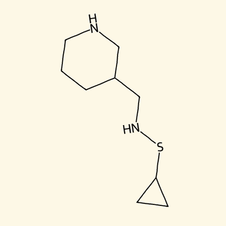 C1CNCC(CNSC2CC2)C1